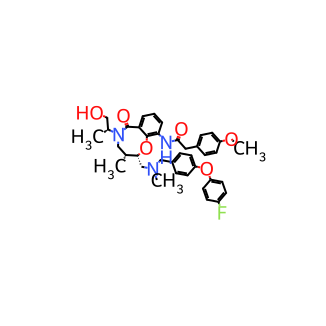 COc1ccc(CC(=O)Nc2cccc3c2O[C@H](CN(C)Cc2ccc(Oc4ccc(F)cc4)cc2)[C@H](C)CN([C@@H](C)CO)C3=O)cc1